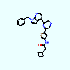 O=C(CC1CCC1)Nc1csc(-c2cncc(-c3ccnc4c3ccn4Cc3ccccc3)n2)c1